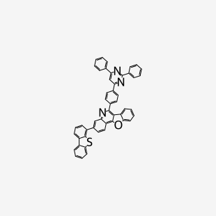 c1ccc(-c2cc(-c3ccc(-c4nc5cc(-c6cccc7c6sc6ccccc67)ccc5c5oc6ccccc6c45)cc3)nc(-c3ccccc3)n2)cc1